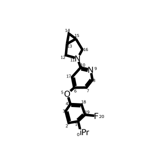 CC(C)c1ccc(Oc2ccnc(N3CC4CC4C3)c2)cc1F